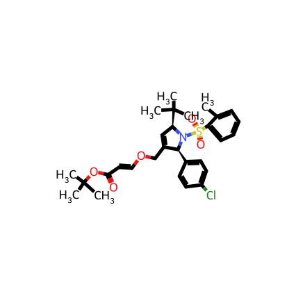 Cc1ccccc1S(=O)(=O)N1[C@@H](c2ccc(Cl)cc2)C(CO/C=C/C(=O)OC(C)(C)C)=C[C@H]1C(C)(C)C